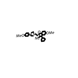 COc1ccc(N2CCN(CCn3c(C#N)c(-c4ccccc4)c4cc(OC)ccc4c3=O)CC2)cc1